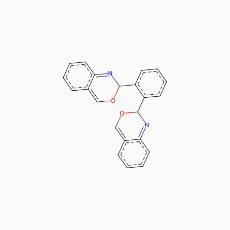 C1=c2ccccc2=NC(c2ccccc2C2N=c3ccccc3=CO2)O1